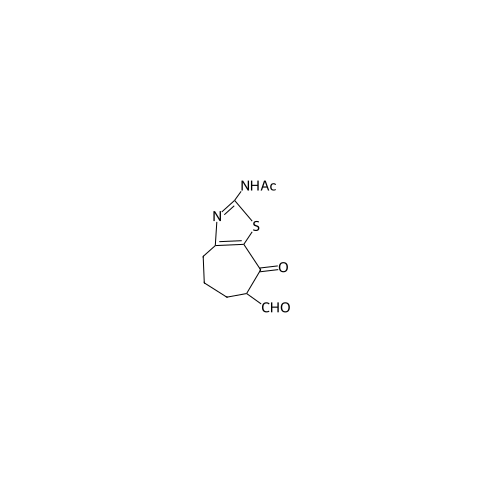 CC(=O)Nc1nc2c(s1)C(=O)C(C=O)CCC2